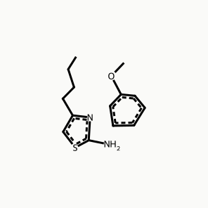 CCCCc1csc(N)n1.COc1ccccc1